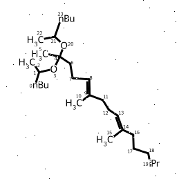 CCCCC(C)OC(C)(CC/C=C(\C)CC/C=C(\C)CCCC(C)C)OC(C)CCCC